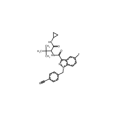 CC(C)(C)C(NC(=O)c1nn(Cc2ccc(C#N)cc2)c2ccc(F)cc12)C(=O)NC1CC1